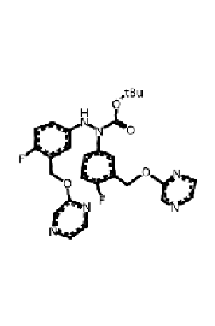 CC(C)(C)OC(=O)N(Nc1ccc(F)c(COc2cnccn2)c1)c1ccc(F)c(COc2cnccn2)c1